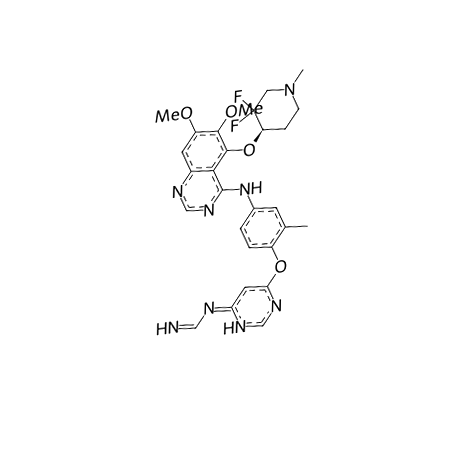 COc1cc2ncnc(Nc3ccc(Oc4c/c(=N/C=N)[nH]cn4)c(C)c3)c2c(O[C@@H]2CCN(C)CC2(F)F)c1OC